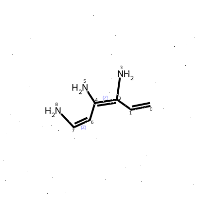 C=C/C(N)=C(N)\C=C/N